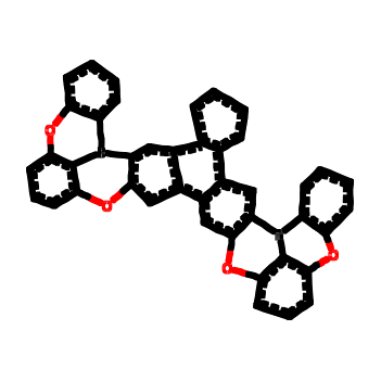 c1ccc2c(c1)Oc1cccc3c1B2c1cc2c4ccccc4c4cc5c(cc4c2cc1O3)Oc1cccc2c1B5c1ccccc1O2